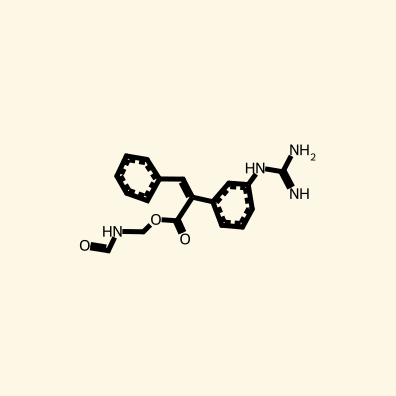 N=C(N)Nc1cccc(C(=Cc2ccccc2)C(=O)OCNC=O)c1